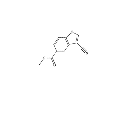 COC(=O)c1ccc2occ(C#N)c2c1